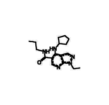 CCCNC(=O)c1cnc2c(cnn2CC)c1NC1CCCC1